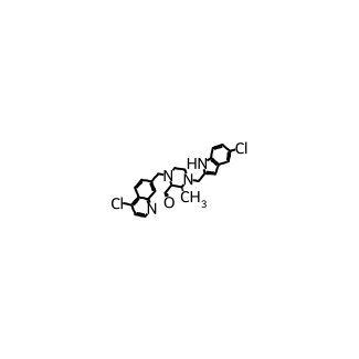 C[C@H]1C(C=O)N(Cc2ccc3c(Cl)ccnc3c2)CCN1Cc1cc2cc(Cl)ccc2[nH]1